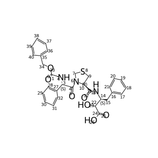 O=C(N[C@H](C(=O)N1CSC[C@H]1C(=O)N[C@@H](Cc1ccccc1)C(O)C(=O)O)c1ccccc1)OCc1ccccc1